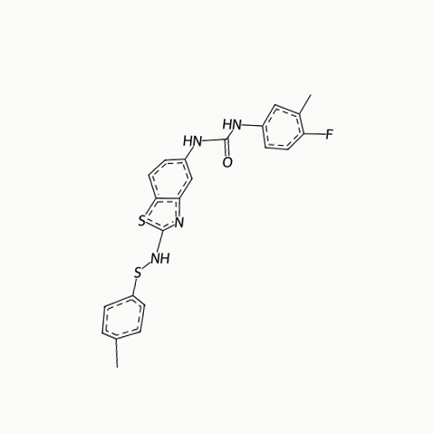 Cc1ccc(SNc2nc3cc(NC(=O)Nc4ccc(F)c(C)c4)ccc3s2)cc1